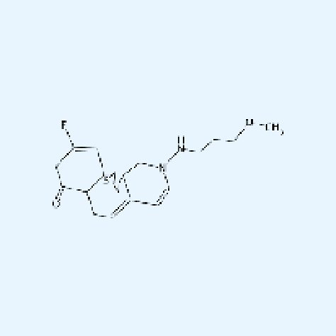 COCCCNN1C=CC2=CCC3C(=O)CC(F)=CC34SC=NC24C1